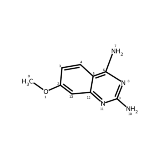 COc1ccc2c(N)nc(N)nc2c1